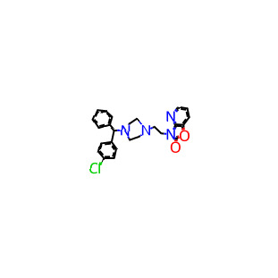 O=c1oc2cccnc2n1CCN1CCN(C(c2ccccc2)c2ccc(Cl)cc2)CC1